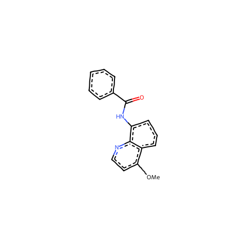 COc1ccnc2c(NC(=O)c3ccccc3)cccc12